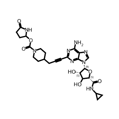 Nc1nc(C#CCC2CCN(C(=O)OC3CCC(=O)N3)CC2)nc2c1ncn2[C@@H]1O[C@H](C(=O)NC2CC2)C(O)[C@@H]1O